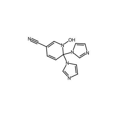 N#CC1=CN(O)C(n2ccnc2)(n2ccnc2)C=C1